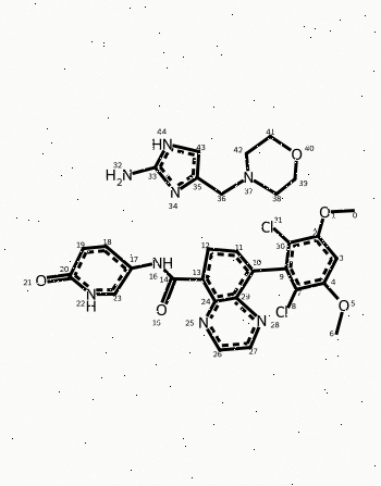 COc1cc(OC)c(Cl)c(-c2ccc(C(=O)Nc3ccc(=O)[nH]c3)c3nccnc23)c1Cl.Nc1nc(CN2CCOCC2)c[nH]1